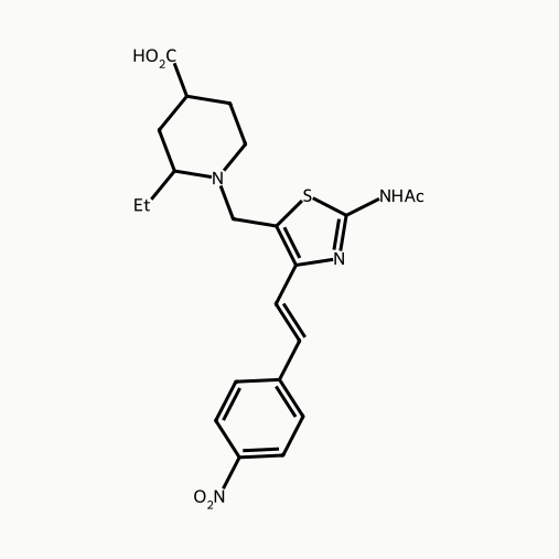 CCC1CC(C(=O)O)CCN1Cc1sc(NC(C)=O)nc1C=Cc1ccc([N+](=O)[O-])cc1